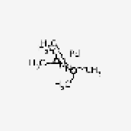 CCCCCCCCC(C=Nc1cc(CCCC)cc(CCCC)c1)=Nc1cc(CCCC)cc(CCCC)c1.[Pd]